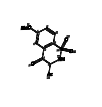 COc1ccc2c(c1)C(=O)C(C(C)=O)NS2(=O)=O